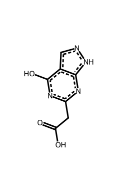 O=C(O)Cc1nc(O)c2cn[nH]c2n1